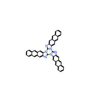 c1ccc2cc3cc4c(cc3cc2c1)nc1n4c2nc3cc4cc5ccccc5cc4cc3n2c2nc3cc4cc5ccccc5cc4cc3n12